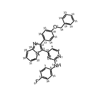 Fc1ccc(Nc2nccc(-c3c(-c4ccc(OCc5ccccc5)cc4)nc4ccccn34)n2)cc1